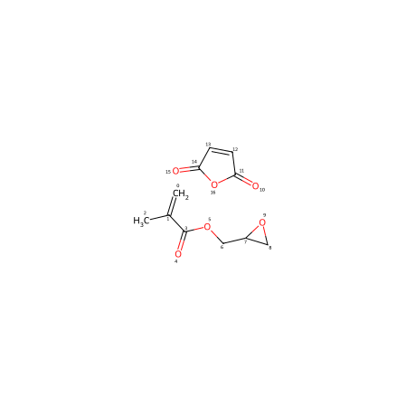 C=C(C)C(=O)OCC1CO1.O=C1C=CC(=O)O1